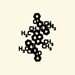 CC(C)c1cc(N2c3ccccc3C(C)(C)c3cc4c(cc32)oc2ccccc24)c2ccc3c(C(C)C)cc(N4c5ccccc5C(C)(C)c5cc6c(cc54)oc4ccccc46)c4ccc1c2c34